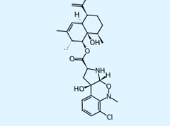 [CH2][C@@H]1C(C)=C[C@H]2[C@@H](C(=C)C)CC[C@@H](C)[C@]2(O)[C@H]1OC(=O)[C@@H]1C[C@@]2(O)c3cccc(Cl)c3N(C)O[C@H]2N1